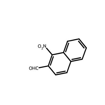 O=Cc1ccc2ccccc2c1[N+](=O)[O-]